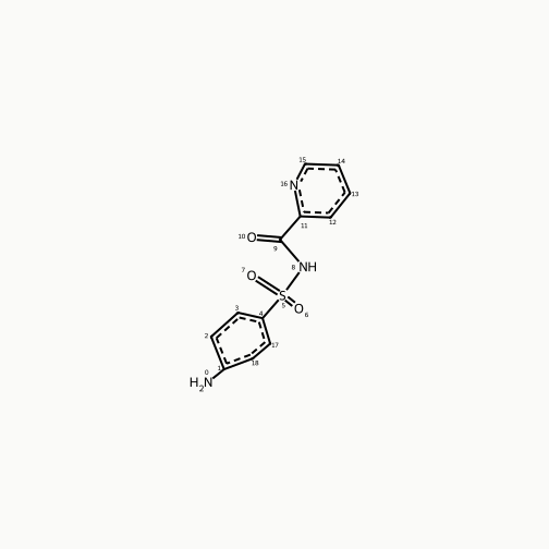 Nc1ccc(S(=O)(=O)NC(=O)c2ccccn2)cc1